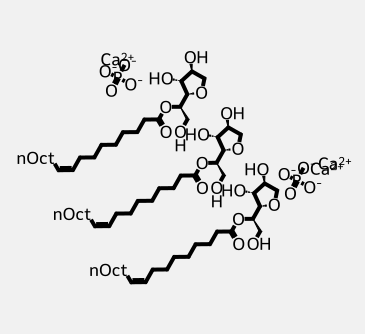 CCCCCCCC/C=C\CCCCCCCC(=O)O[C@H](CO)[C@H]1OC[C@H](O)[C@H]1O.CCCCCCCC/C=C\CCCCCCCC(=O)O[C@H](CO)[C@H]1OC[C@H](O)[C@H]1O.CCCCCCCC/C=C\CCCCCCCC(=O)O[C@H](CO)[C@H]1OC[C@H](O)[C@H]1O.O=P([O-])([O-])[O-].O=P([O-])([O-])[O-].[Ca+2].[Ca+2].[Ca+2]